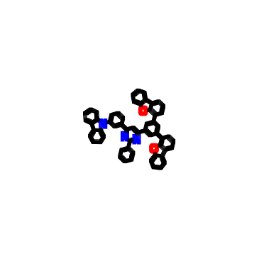 c1ccc(-c2nc(-c3cc(-c4cccc5c4oc4ccccc45)cc(-c4cccc5c4oc4ccccc45)c3)cc(-c3cccc(-n4c5ccccc5c5ccccc54)c3)n2)cc1